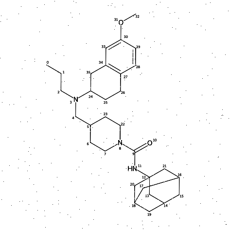 CCCN(CC1CCN(C(=O)NC23CC4CC(CC(C4)C2)C3)CC1)C1CCc2ccc(OC)cc2C1